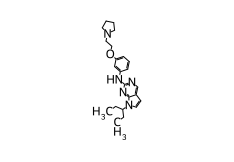 CCC(CC)n1ccc2cnc(Nc3cccc(OCCN4CCCC4)c3)nc21